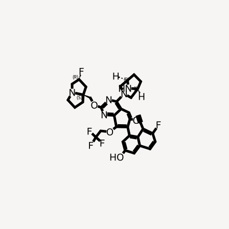 C#Cc1c(F)ccc2cc(O)cc(-c3c(Cl)cc4c(N5C[C@H]6CC[C@@H](C5)N6)nc(OC[C@@]56CCCN5C[C@H](F)C6)nc4c3OCC(F)(F)F)c12